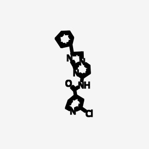 O=C(Nc1ccn2cc(-c3ccccc3)nc2n1)c1ccnc(Cl)c1